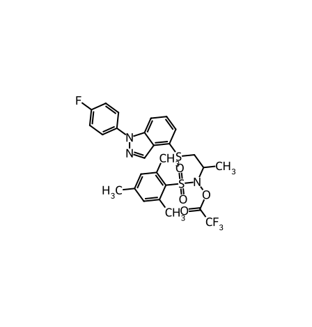 Cc1cc(C)c(S(=O)(=O)N(OC(=O)C(F)(F)F)C(C)CSc2cccc3c2cnn3-c2ccc(F)cc2)c(C)c1